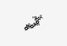 CC(=O)N1CC(C(=O)O)C(c2ccc(NC(=O)Cc3ccc(NC(=O)N(C)c4ccccc4C)cc3)cc2)C1